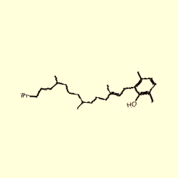 C/C(=C\Cc1c(C)ccc(C)c1O)CCCC(C)CCCC(C)CCCC(C)C